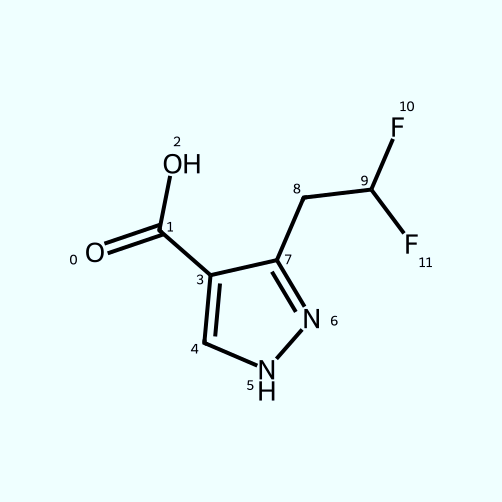 O=C(O)c1c[nH]nc1CC(F)F